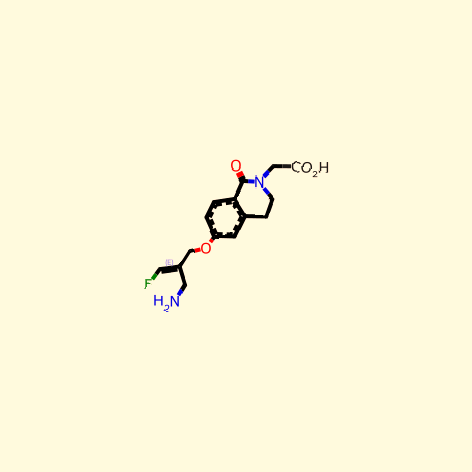 NC/C(=C\F)COc1ccc2c(c1)CCN(CC(=O)O)C2=O